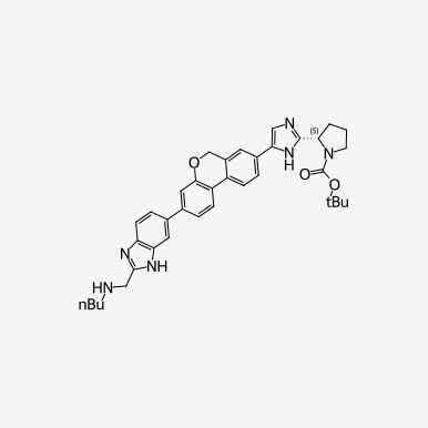 CCCCNCc1nc2ccc(-c3ccc4c(c3)OCc3cc(-c5cnc([C@@H]6CCCN6C(=O)OC(C)(C)C)[nH]5)ccc3-4)cc2[nH]1